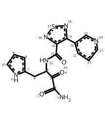 NC(=O)C(=O)C(Cc1ccc[nH]1)NC(=O)c1nsnc1-c1cccnc1